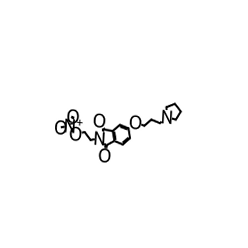 O=C1c2ccc(OCCCN3CCCC3)cc2C(=O)N1CCO[N+](=O)[O-]